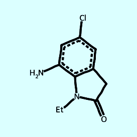 CCN1C(=O)Cc2cc(Cl)cc(N)c21